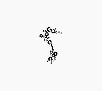 CO[C@@H]1CCN(c2nccc(Nc3cc4c(cn3)c(C(=O)NC3CCN(CCCCCNc5cccc6c5C(=O)N(C5CCC(=O)NC5=O)C6=O)CC3)cn4C3CCCC3)n2)C[C@@H]1F